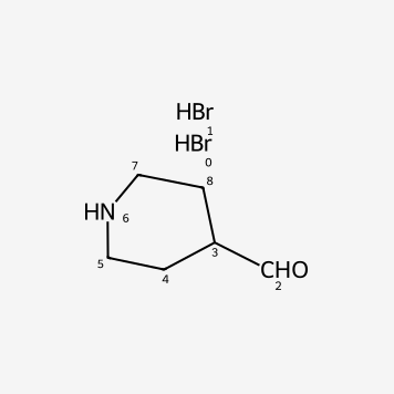 Br.Br.O=CC1CCNCC1